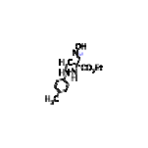 CCOC(=O)C(C)(/C=N/O)NNc1ccc(C)cc1